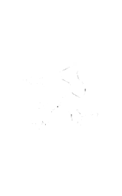 CCc1cc(C(CCN)Oc2cccc3ccccc23)cs1.O=C(O)CCC(=O)O